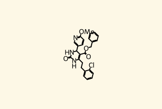 COc1ccc(C2NC(=O)NC(CCc3ccccc3Cl)=C2C(=O)OCc2ccccc2)cn1